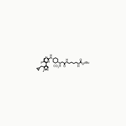 Cn1ncc(-c2nc(N[C@H]3CC[C@H](N(CC(=O)NCCCCNC(=O)OC(C)(C)C)C(=O)O)CC3)ncc2F)c1CC1CC1